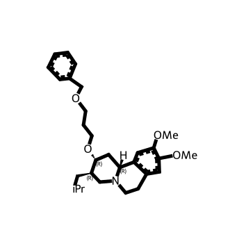 COc1cc2c(cc1OC)[C@H]1C[C@@H](OCCCOCc3ccccc3)[C@H](CC(C)C)CN1CC2